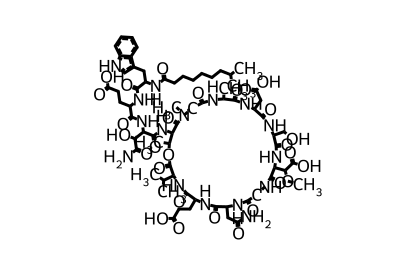 COC(C(=O)O)C1NC(=O)C(CO)NC(=O)C(CC(=O)O)NC(=O)C(C)NC(=O)CN(C)C(=O)C(NC(=O)C(NC(=O)C(CCC(=O)O)NC(=O)C(Cc2c[nH]c3ccccc23)NC(=O)CCCCCCC(C)C)C(O)C(N)=O)C(C)OC(=O)C(C(C)C)NC(=O)C(CCC(=O)O)NC(=O)C(CC(N)=O)NC(=O)CNC1=O